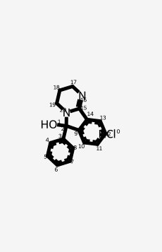 Cl.OC1(c2ccccc2)c2ccccc2C2=NCCCN21